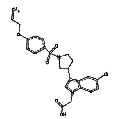 C=CCOc1ccc(S(=O)(=O)N2CCC(c3cn(CC(=O)O)c4ccc(Cl)cc34)C2)cc1